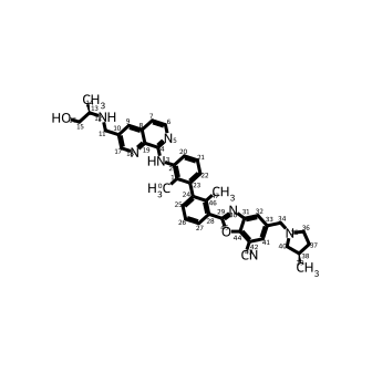 Cc1c(Nc2nccc3cc(CN[C@H](C)CO)cnc23)cccc1-c1cccc(-c2nc3cc(CN4CC[C@@H](C)C4)cc(C#N)c3o2)c1C